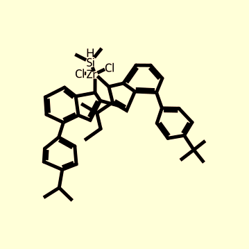 CCC(C)C1=Cc2c(-c3ccc(C(C)(C)C)cc3)cccc2[CH]1[Zr]([Cl])([Cl])([CH]1C(C)=Cc2c(-c3ccc(C(C)C)cc3)cccc21)[SiH](C)C